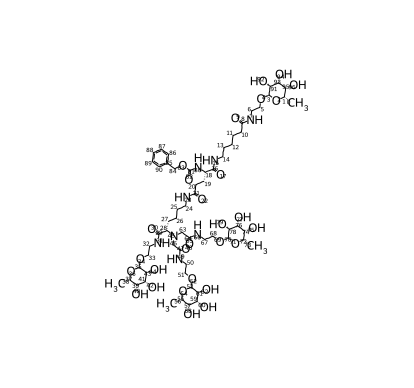 C[C@@H]1O[C@@H](OCCNC(=O)CCCCCNC(=O)[C@H](CCC(=O)NCCCC[C@@H](C(=O)NCCO[C@@H]2O[C@@H](C)[C@@H](O)[C@@H](O)[C@@H]2O)N(CC(=O)NCCO[C@@H]2O[C@@H](C)[C@@H](O)[C@@H](O)[C@@H]2O)CC(=O)NCCO[C@@H]2O[C@@H](C)[C@@H](O)[C@@H](O)[C@@H]2O)NC(=O)OCc2ccccc2)[C@@H](O)[C@H](O)[C@@H]1O